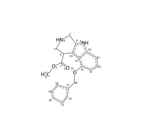 COC(=O)C1CNCc2[nH]c3cccc(OCc4ccccc4)c3c21